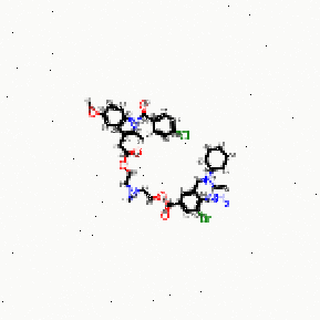 CCN(Cc1cc(C(=O)OCCN(C)CCOC(=O)Cc2c(C)n(C(=O)c3ccc(Cl)cc3)c3ccc(OC)cc23)cc(Br)c1N)C1CCCCC1